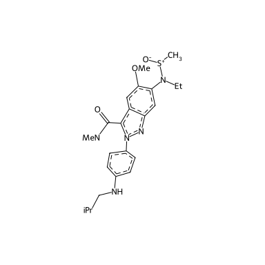 CCN(c1cc2nn(-c3ccc(NCC(C)C)cc3)c(C(=O)NC)c2cc1OC)[S+](C)[O-]